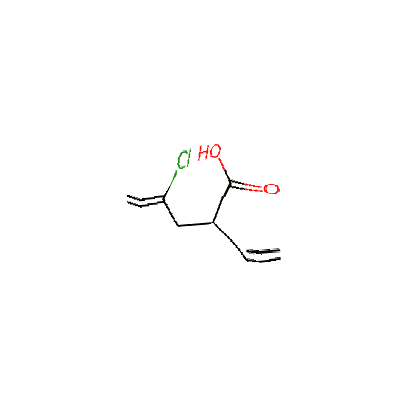 C=CC(CC(=C)Cl)C(=O)O